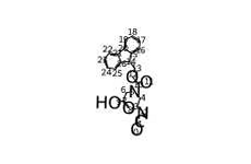 O=C=NCCN(CC(=O)O)C(=O)OCC1c2ccccc2-c2ccccc21